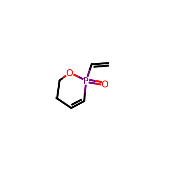 C=CP1(=O)C=CCCO1